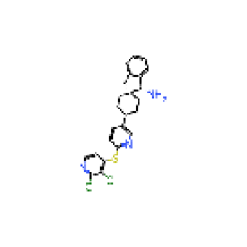 N[C@H]1c2ccccc2C[C@]12CC[C@H](c1ccc(Sc3ccnc(Cl)c3Cl)nc1)CC2